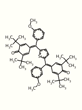 COc1cccc(C(=C2C=C(C(C)(C)C)C(=O)C(C(C)(C)C)=C2)c2ccc(C(=C3C=C(C(C)(C)C)C(=O)C(C(C)(C)C)=C3)c3cccc(OC)c3)s2)c1